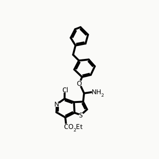 CCOC(=O)c1cnc(Cl)c2c(C(N)Oc3cccc(Cc4ccccc4)c3)csc12